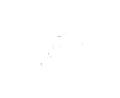 c1cc(N2CCNCC2)ccc1O[C@@H]1CCOC1